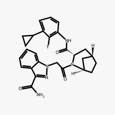 NC(=O)c1nn(CC(=O)N2[C@@H]3CC[C@H](C3)C[C@H]2C(=O)Nc2cccc(C3CC3)c2F)c2ccccc12